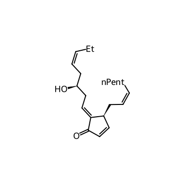 CC/C=C\C[C@H](O)C/C=C1/C(=O)C=C[C@@H]1C/C=C\CCCCC